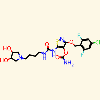 NC(=O)Oc1c(OCc2c(F)cc(Cl)cc2F)nsc1NC(=O)NCCCCN1CC(O)C(O)C1